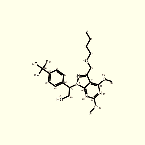 CCCCOCc1nn(C(CO)c2ccc(C(F)(F)F)cc2)c2nc(OC)nc(OC)c12